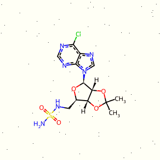 CC1(C)O[C@@H]2[C@H](O1)[C@@H](CNS(N)(=O)=O)O[C@H]2n1cnc2c(Cl)ncnc21